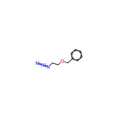 [N-]=[N+]=NCCOCc1ccccc1